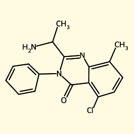 Cc1ccc(Cl)c2c(=O)n(-c3ccccc3)c(C(C)N)nc12